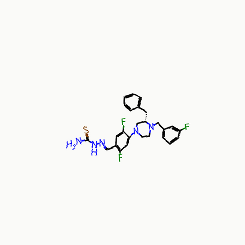 NC(=S)NN=Cc1cc(F)c(N2CCN(Cc3cccc(F)c3)[C@@H](Cc3ccccc3)C2)cc1F